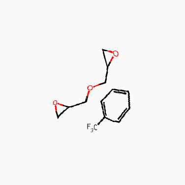 C(OCC1CO1)C1CO1.FC(F)(F)c1ccccc1